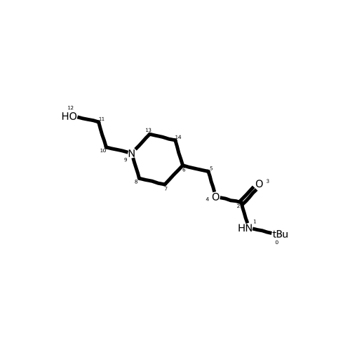 CC(C)(C)NC(=O)OCC1CCN(CCO)CC1